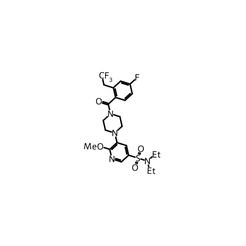 CCN(CC)S(=O)(=O)c1cnc(OC)c(N2CCN(C(=O)c3ccc(F)cc3CC(F)(F)F)CC2)c1